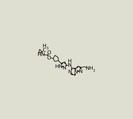 CC1(NC(=O)OC2CCC(c3cc(Nc4nccn5nc(CN)cc45)n[nH]3)C2)CC1